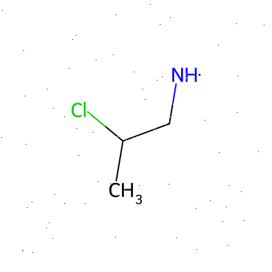 CC(Cl)C[NH]